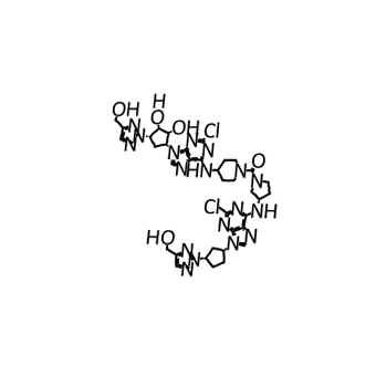 O=C(N1CCC(Nc2nc(Cl)nc3c2ncn3[C@@H]2C[C@H](n3ncc(CO)n3)[C@@H](O)[C@H]2O)CC1)N1CC[C@@H](Nc2nc(Cl)nc3c2ncn3[C@H]2CC[C@@H](n3ncc(CO)n3)C2)C1